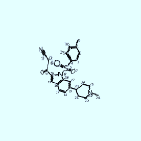 Cc1ccc(S(=O)(=O)n2c(C(=O)CC#N)cc3ccc(C4CCN(C)CC4)cc32)cc1